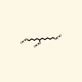 O=C=NCCCCCC(CCCCN=C=O)N=C=O